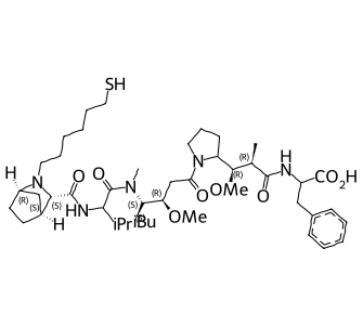 CC[C@H](C)[C@@H]([C@@H](CC(=O)N1CCCC1[C@H](OC)[C@@H](C)C(=O)NC(Cc1ccccc1)C(=O)O)OC)N(C)C(=O)C(NC(=O)[C@@H]1[C@H]2CC[C@H](C2)N1CCCCCCS)C(C)C